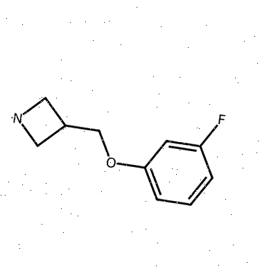 Fc1cccc(OCC2C[N]C2)c1